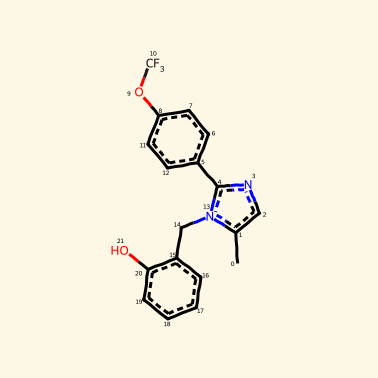 Cc1cnc(-c2ccc(OC(F)(F)F)cc2)n1Cc1ccccc1O